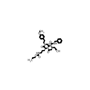 C#CCN1CC(=O)N2[C@@H](CCCNC(=O)OCC=C)C(=O)N(CCc3ccc(OC)cc3)C[C@@H]2N1C(=O)NCc1ccccc1